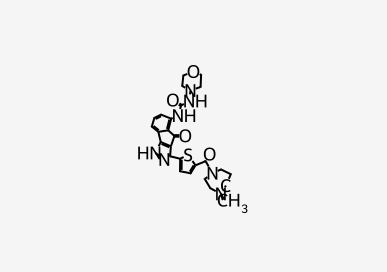 CN1CCCN(C(=O)c2ccc(-c3n[nH]c4c3C(=O)c3c(NC(=O)NN5CCOCC5)cccc3-4)s2)CC1